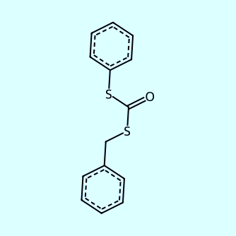 O=C(SCc1ccccc1)Sc1ccccc1